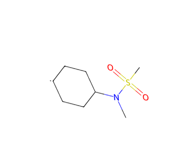 CN(C1CC[CH]CC1)S(C)(=O)=O